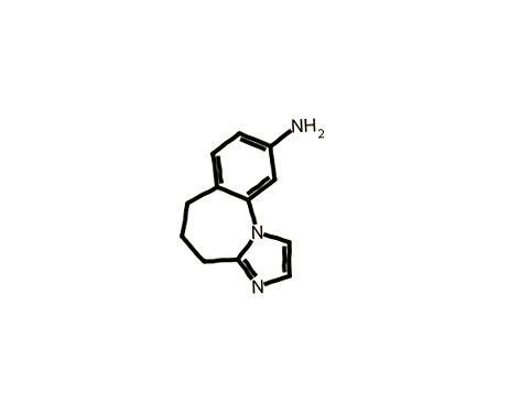 Nc1ccc2c(c1)-n1ccnc1CCC2